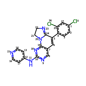 Clc1ccc(C2=Cc3cnc(Nc4ccncc4)nc3N3CCN=C23)c(Cl)c1